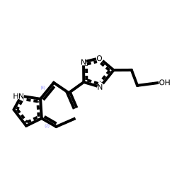 C=C(/C=c1/[nH]cc/c1=C/C)c1noc(CCO)n1